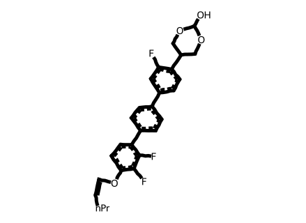 CCC/C=C\Oc1ccc(-c2ccc(-c3ccc(C4COC(O)OC4)c(F)c3)cc2)c(F)c1F